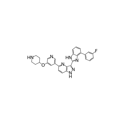 Fc1cccc(-c2cccc3[nH]c(-c4n[nH]c5ccc(-c6cncc(OC7CCNCC7)c6)nc45)nc23)c1